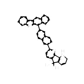 CC1(C)C2=C(NCC=C2)c2nc(-c3ccc4cc(-c5c6ccccc6cc6c5oc5ccccc56)ccc4c3)ccc21